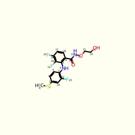 CSc1ccc(Nc2c(C(=O)NOCCO)ccc(F)c2F)c(F)c1